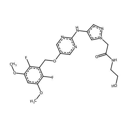 COc1cc(OC)c(F)c(COc2cnc(Nc3cnn(CC(=O)NCCO)c3)nc2)c1F